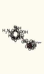 C=C/C=C(\C)Cc1cc(OC)c(Cl)c(N(C)C(=O)C[C@H](OC(=O)[C@H](C)N(C)C(=O)CCSC2CC(=O)N(CCCNC(=O)CC[C@H]3C(=O)N[C@@H](Cc4ccc(O)cc4)C(=O)N[C@H](Cc4c[nH]c5ccccc45)C(=O)N[C@@H](CCCCN)C(=O)N[C@@H]([C@@H](C)O)C(=O)N[C@@H](Cc4ccccc4)C(=O)N3C)C2=O)[C@]2(C)O[C@H]2[C@H](C)[C@@H]2C[C@](O)([C@@H](C)OC)NC(=O)O2)c1